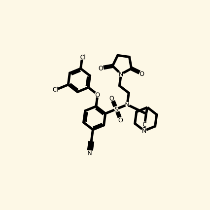 N#Cc1ccc(Oc2cc(Cl)cc(Cl)c2)c(S(=O)(=O)N(CCN2C(=O)CCC2=O)C2CN3CCC2CC3)c1